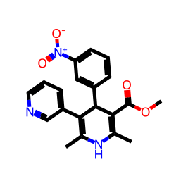 COC(=O)C1=C(C)NC(C)=C(c2cccnc2)C1c1cccc([N+](=O)[O-])c1